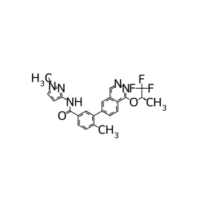 Cc1ccc(C(=O)Nc2ccn(C)n2)cc1-c1ccc2c(O[C@H](C)C(F)(F)F)nncc2c1